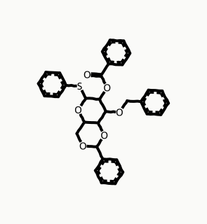 O=C(OC1C(Sc2ccccc2)OC2COC(c3ccccc3)OC2C1OCc1ccccc1)c1ccccc1